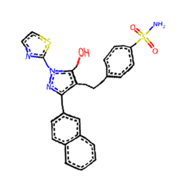 NS(=O)(=O)c1ccc(Cc2c(-c3ccc4ccccc4c3)nn(-c3nccs3)c2O)cc1